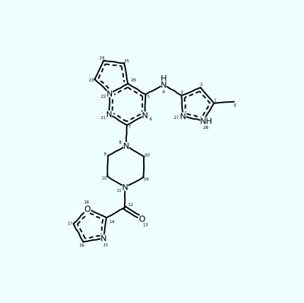 Cc1cc(Nc2nc(N3CCN(C(=O)c4ncco4)CC3)nn3cccc23)n[nH]1